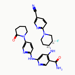 N#Cc1ccc(N2CC[C@@H](Nc3cc(Nc4ccc(N5CCCCC5=O)cn4)ncc3C(N)=O)[C@@H](F)C2)nc1